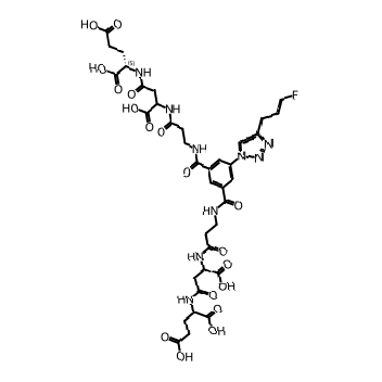 O=C(O)CCC(NC(=O)CC(NC(=O)CCNC(=O)c1cc(C(=O)NCCC(=O)NC(CC(=O)N[C@@H](CCC(=O)O)C(=O)O)C(=O)O)cc(-n2cc(CCCF)nn2)c1)C(=O)O)C(=O)O